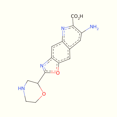 Nc1cc2cc3oc(C4CNCCO4)nc3cc2nc1C(=O)O